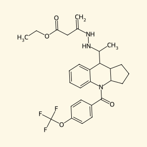 C=C(CC(=O)OCC)NNC(C)C1c2ccccc2N(C(=O)c2ccc(OC(F)(F)F)cc2)C2CCCC12